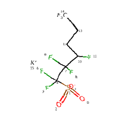 O=S(=O)([O-])C(F)(F)C(F)(F)C(F)CCC(F)(F)F.[K+]